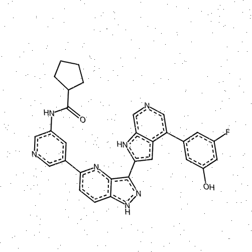 O=C(Nc1cncc(-c2ccc3[nH]nc(-c4cc5c(-c6cc(O)cc(F)c6)cncc5[nH]4)c3n2)c1)C1CCCC1